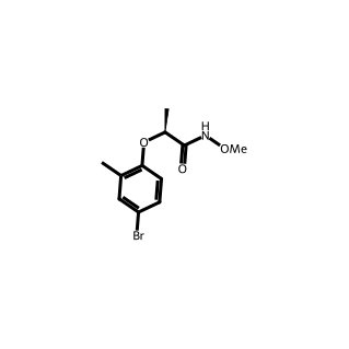 CONC(=O)[C@H](C)Oc1ccc(Br)cc1C